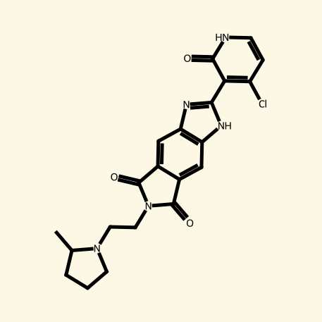 CC1CCCN1CCN1C(=O)c2cc3nc(-c4c(Cl)cc[nH]c4=O)[nH]c3cc2C1=O